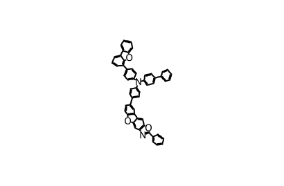 c1ccc(-c2ccc(N(c3ccc(-c4ccc5oc6cc7nc(-c8ccccc8)oc7cc6c5c4)cc3)c3ccc(-c4cccc5c4oc4ccccc45)cc3)cc2)cc1